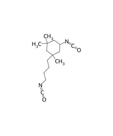 CC1(C)CC(N=C=O)CC(C)(CCCCN=C=O)C1